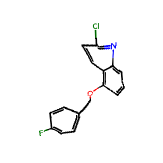 Fc1ccc(COc2cccc3nc(Cl)ccc23)cc1